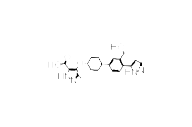 O=C(O)c1[nH]nnc1O[C@H]1CC[C@H](c2ccc(-c3ccn[nH]3)c(CO)c2)CC1